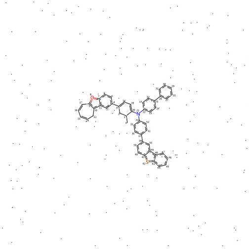 CC1CC(c2ccc3oc4c(c3c2)CC=CC=C4)=CC=C1N(c1ccc(-c2ccccc2)cc1)c1ccc(-c2ccc3sc4ccccc4c3c2)cc1